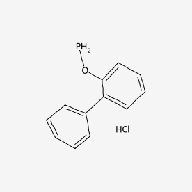 Cl.POc1ccccc1-c1ccccc1